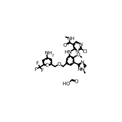 CNC(=O)c1cnc(Cl)nc1Nc1cc(COCc2cc(N)cc(C(F)(F)F)c2)cc(-c2ncn(C)n2)c1OC.O=CO